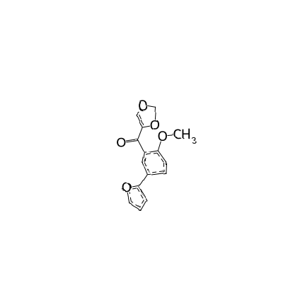 COc1ccc(-c2ccco2)cc1C(=O)C1=COCO1